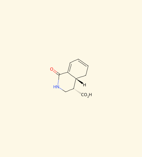 O=C1NC[C@@H](C(=O)O)[C@H]2CC=CC=C12